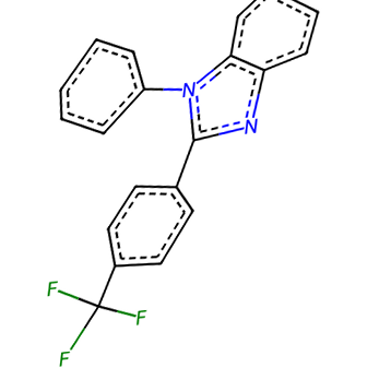 FC(F)(F)c1ccc(-c2nc3ccccc3n2-c2ccccc2)cc1